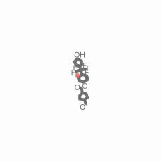 O=CC1CCC(C(=O)Oc2ccc(C(c3ccc(O)cc3)(C(F)(F)F)C(F)(F)F)cc2)CC1